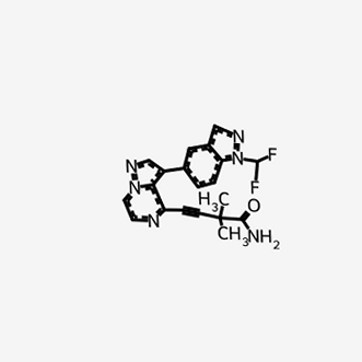 CC(C)(C#Cc1nccn2ncc(-c3ccc4c(cnn4C(F)F)c3)c12)C(N)=O